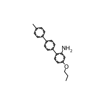 CCCOc1ccc(-c2ccc(-c3ccc(C)cc3)cc2)c(N)c1